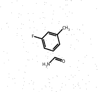 Cc1cccc(F)c1.NC=O